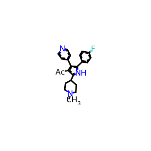 CC(=O)c1c(C2CCN(C)CC2)[nH]c(-c2ccc(F)cc2)c1-c1ccncc1